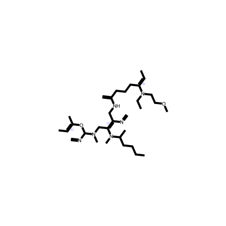 C=N/C(CNC(=C)CCC/C(=C\C)N(CC)CCOC)=C(/CN(C)C(N=C)O/C(C)=C/C)N(C)C(C)CCCC